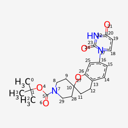 CC(C)(C)OC(=O)N1CCC2(CCc3ccc(-n4ccc(=O)[nH]c4=O)cc3O2)CC1